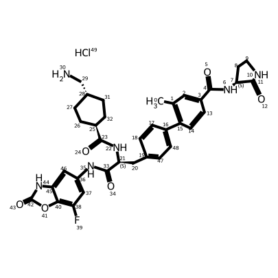 Cc1cc(C(=O)N[C@H]2CCNC2=O)ccc1-c1ccc(C[C@H](NC(=O)[C@H]2CC[C@H](CN)CC2)C(=O)Nc2cc(F)c3oc(=O)[nH]c3c2)cc1.Cl